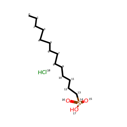 CCCCCCCCCCCCCCS(=O)(=O)O.Cl